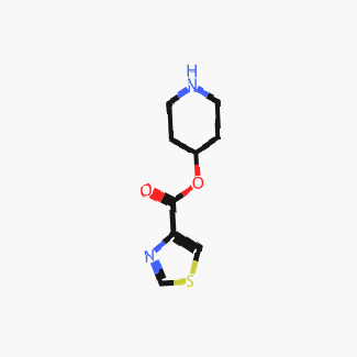 O=C(OC1CCNCC1)c1cscn1